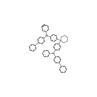 c1ccc(N(c2ccc(-c3ccccc3)cc2)c2ccc(C3(c4ccc(N(c5ccccc5)c5ccc(-c6ccccc6)cc5)cc4)CCCCC3)cc2)cc#1